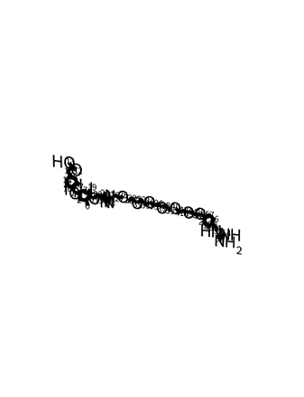 Cc1cc(Oc2c(I)cc(CC(=O)O)cc2I)cc(I)c1OCc1cn(CCOCCOCCOCCOCCOCCOCCOc2ccc(CNC(=N)N)cc2)nn1